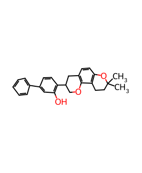 CC1(C)CCc2c(ccc3c2OCC(c2ccc(-c4ccccc4)cc2O)C3)O1